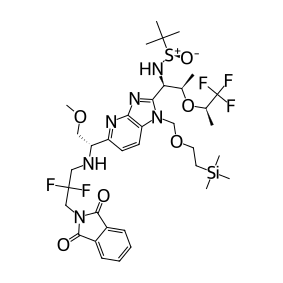 COC[C@@H](NCC(F)(F)CN1C(=O)c2ccccc2C1=O)c1ccc2c(n1)nc([C@@H](N[S@+]([O-])C(C)(C)C)[C@@H](C)O[C@H](C)C(F)(F)F)n2COCC[Si](C)(C)C